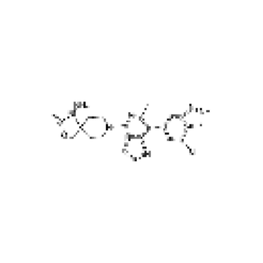 Cc1nc(N2CCC3(CC2)CO[C@@H](C)[C@H]3N)n2ccnc2c1-c1cc(Cl)c2c[nH]nc2c1